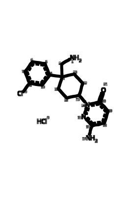 Cl.NCC1(c2cccc(Cl)c2)CCC(n2nc(N)ccc2=O)CC1